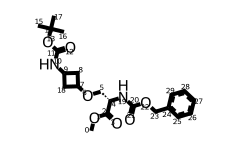 COC(=O)[C@H](COC1CC(NC(=O)OC(C)(C)C)C1)NC(=O)OCc1ccccc1